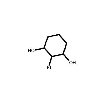 CCC1C(O)CCCC1O